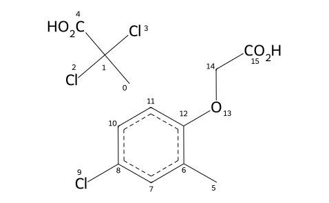 CC(Cl)(Cl)C(=O)O.Cc1cc(Cl)ccc1OCC(=O)O